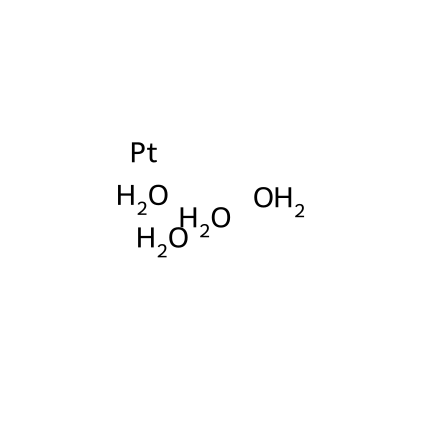 O.O.O.O.[Pt]